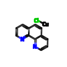 [Cl][Cu].c1cnc2c(c1)ccc1cccnc12